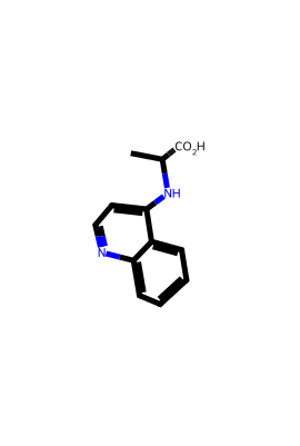 CC(Nc1ccnc2ccccc12)C(=O)O